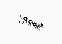 Cc1ccc(OC2CCN(c3ccc(S(=O)(=O)Nc4nccs4)cc3)C2=O)c(C)c1